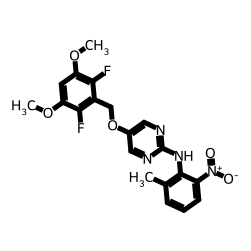 COc1cc(OC)c(F)c(COc2cnc(Nc3c(C)cccc3[N+](=O)[O-])nc2)c1F